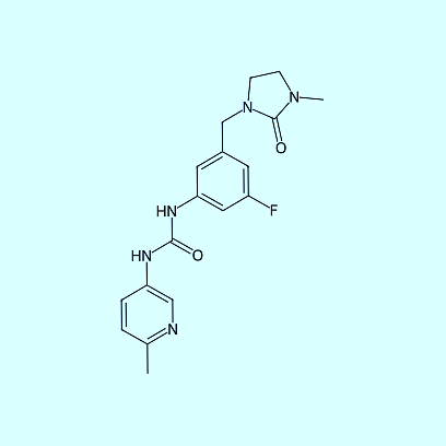 Cc1ccc(NC(=O)Nc2cc(F)cc(CN3CCN(C)C3=O)c2)cn1